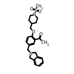 CC(=O)c1cc(CN2Cc3ccccc3C2)ccc1OCC1CCN(S(C)(=O)=O)CC1